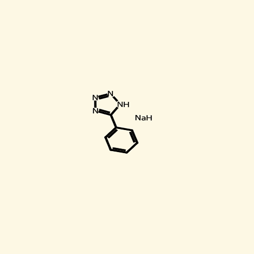 [NaH].c1ccc(-c2nnn[nH]2)cc1